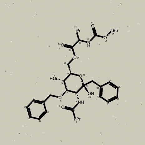 CCCC(=O)N[C@@H]1[C@@H](OCc2ccccc2)[C@H](O)[C@@H](COC(=O)C(NC(=O)OC(C)(C)C)C(C)C)OC1(O)Cc1ccccc1